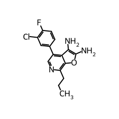 CCCc1ncc(-c2ccc(F)c(Cl)c2)c2c(N)c(N)oc12